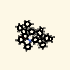 c1ccc(-c2ccccc2N(c2ccc3c(c2)-c2ccccc2C3(c2ccc3c(c2)CC3)c2ccc3c(c2)CC3)c2ccc3c(c2)C(c2ccccc2)(c2ccccc2)c2ccccc2-3)cc1